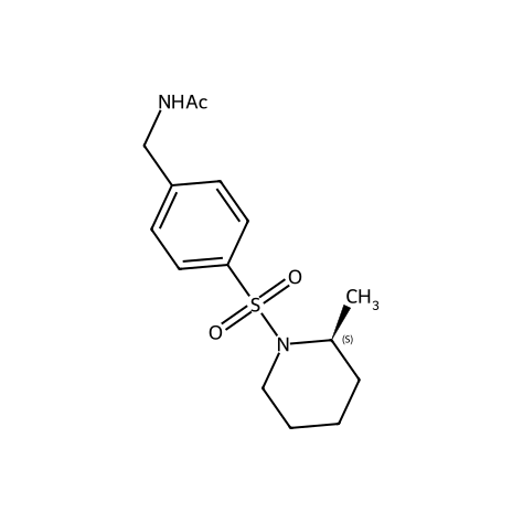 CC(=O)NCc1ccc(S(=O)(=O)N2CCCC[C@@H]2C)cc1